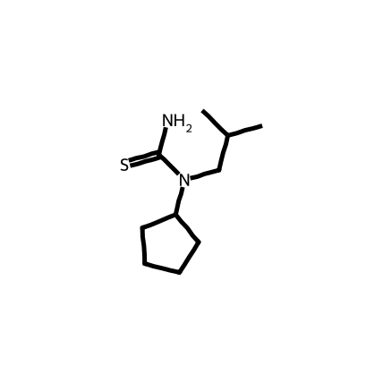 CC(C)CN(C(N)=S)C1CCCC1